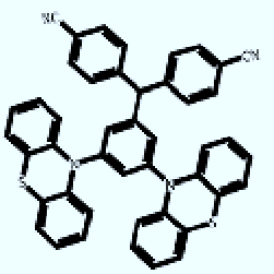 N#Cc1ccc(C(c2ccc(C#N)cc2)c2cc(N3c4ccccc4Sc4ccccc43)cc(N3c4ccccc4Sc4ccccc43)c2)cc1